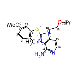 COc1ccc(C)c(Sc2nc3c(N)nccc3n2CCOC(C)C)c1